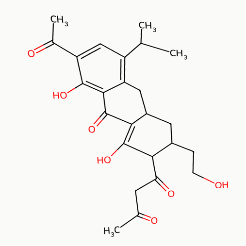 CC(=O)CC(=O)C1C(O)=C2C(=O)c3c(O)c(C(C)=O)cc(C(C)C)c3CC2CC1CCO